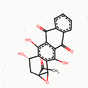 CC(=O)[C@@]12C[C@H](O)c3c(O)c4c(c(O)c3C1O2)C(=O)c1ccccc1C4=O